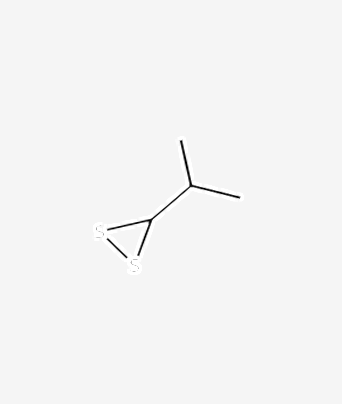 CC(C)C1SS1